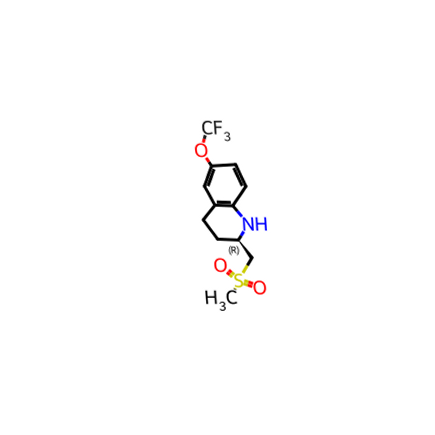 CS(=O)(=O)C[C@H]1CCc2cc(OC(F)(F)F)ccc2N1